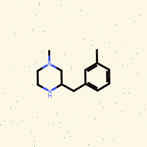 Cc1cccc(CC2CN(C)CCN2)c1